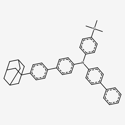 C[Si](C)(C)c1ccc(N(c2ccc(-c3ccccc3)cc2)c2ccc(-c3ccc(C45CC6CC(CC(C6)C4)C5)cc3)cc2)cc1